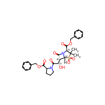 CC1(C)[C@H](C(=O)OCc2ccccc2)N2C(=O)[C@@H]([C@H](O)C(=O)N3CCCC3C(=O)OCc3ccccc3)[C@H]2S1(=O)=O